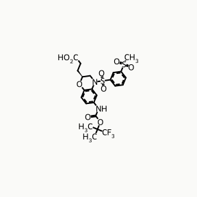 CC(C)(OC(=O)Nc1ccc2c(c1)N(S(=O)(=O)c1cccc(S(C)(=O)=O)c1)C[C@H](CCC(=O)O)O2)C(F)(F)F